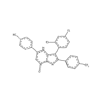 N#Cc1ccc(-c2cc(=O)n3nc(-c4ccc(C(F)(F)F)cc4)c(-c4ccc(Cl)cc4Cl)c3[nH]2)cc1